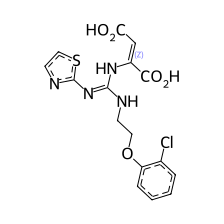 O=C(O)/C=C(\NC(=Nc1nccs1)NCCOc1ccccc1Cl)C(=O)O